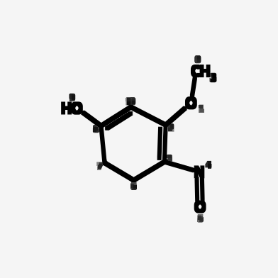 COC1=C(N=O)CCC(O)=C1